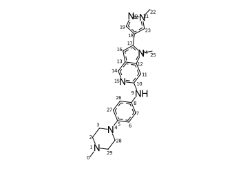 CN1CCN(c2ccc(Nc3cc4c(cn3)cc(-c3cnn(C)c3)n4C)cc2)CC1